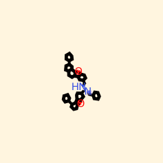 C(=N\C(NCc1ccc2oc3c4cc(-c5ccccc5)ccc4ccc3c2c1)c1ccc2c(c1)oc1cccc(-c3ccccc3)c12)/c1ccccc1